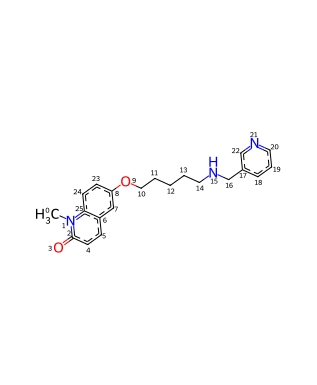 Cn1c(=O)ccc2cc(OCCCCCNCc3cccnc3)ccc21